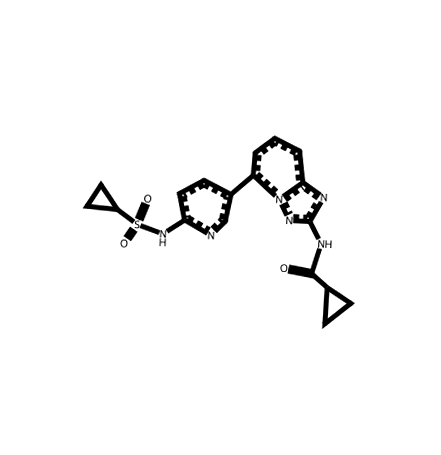 O=C(Nc1nc2cccc(-c3ccc(NS(=O)(=O)C4CC4)nc3)n2n1)C1CC1